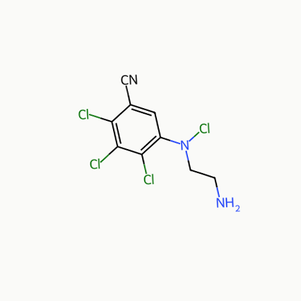 N#Cc1cc(N(Cl)CCN)c(Cl)c(Cl)c1Cl